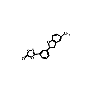 O=c1oc(-c2cccc(C3Cc4cc(C(F)(F)F)ccc4O3)c2)ns1